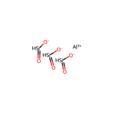 O=[SiH][O-].O=[SiH][O-].O=[SiH][O-].[Al+3]